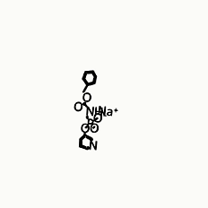 O=C(NCP(=O)([O-])Oc1cccnc1)OCc1ccccc1.[Na+]